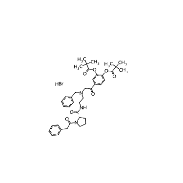 Br.CC(C)(C)C(=O)Oc1ccc(C(=O)CN(CCNC(=O)[C@@H]2CCCN2C(=O)Cc2ccccc2)Cc2ccccc2)cc1OC(=O)C(C)(C)C